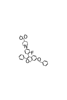 COC(OC)C1CCN(c2ccc(C3=C(c4ccccc4)OCc4cc(OCc5ccccc5)ccc43)c(F)c2)CC1